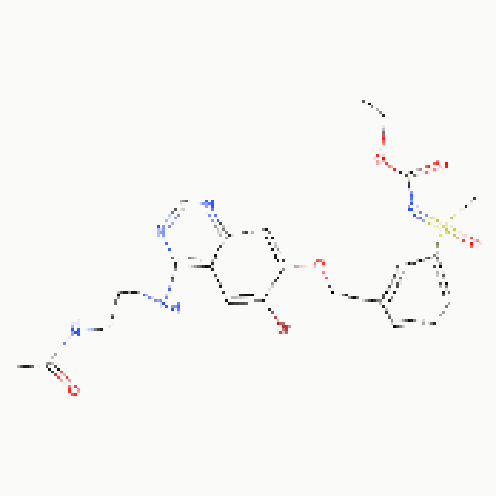 CCOC(=O)N=S(C)(=O)c1cccc(COc2cc3ncnc(NCCNC(C)=O)c3cc2Br)c1